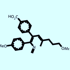 C=N/C(=C(\C=C(/C)CCCOC)c1ccc(C(=O)O)cc1)c1ccc(OC)cc1